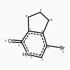 O=c1[nH]cc(Br)c2c1CCC2